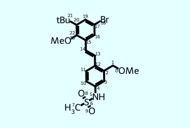 COCc1cc(NS(C)(=O)=O)ccc1/C=C/c1cc(Br)cc(C(C)(C)C)c1OC